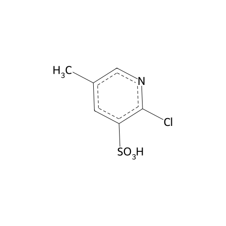 Cc1cnc(Cl)c(S(=O)(=O)O)c1